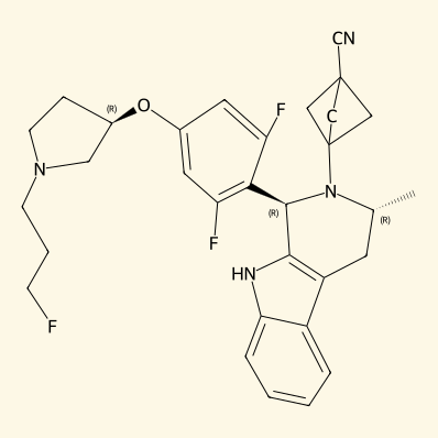 C[C@@H]1Cc2c([nH]c3ccccc23)[C@@H](c2c(F)cc(O[C@@H]3CCN(CCCF)C3)cc2F)N1C12CC(C#N)(C1)C2